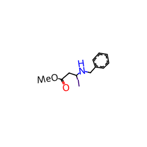 COC(=O)CC(I)NCc1ccccc1